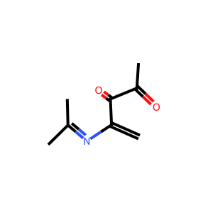 C=C(N=C(C)C)C(=O)C(C)=O